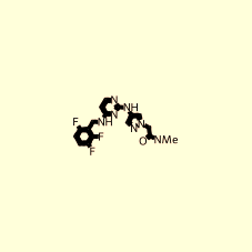 CNC(=O)Cn1cc(Nc2nccc(NCc3c(F)ccc(F)c3F)n2)cn1